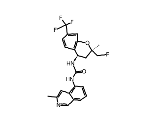 Cc1cc2c(NC(=O)N[C@@H]3C[C@](C)(CF)Oc4cc(C(F)(F)F)ccc43)cccc2cn1